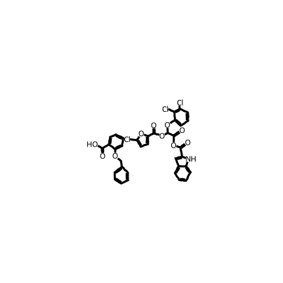 O=C(O)c1ccccc1OCc1ccccc1.O=C(OC(=O)C(OC(=O)c1ccc(Cl)o1)Oc1cccc(Cl)c1Cl)c1cc2ccccc2[nH]1